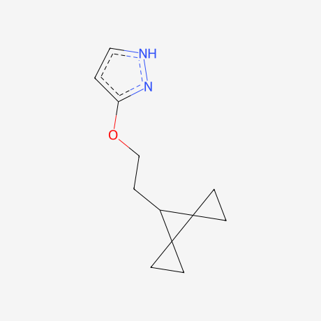 c1cc(OCCC2C3(CC3)C23CC3)n[nH]1